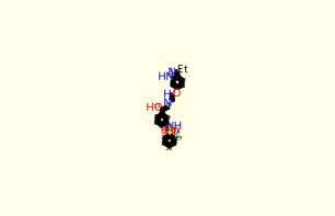 CCc1n[nH]c2cc(OCCNC[C@H](O)c3cccc(NS(=O)(=O)c4ccccc4F)c3)ccc12